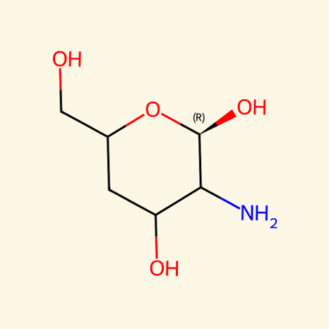 NC1C(O)CC(CO)O[C@H]1O